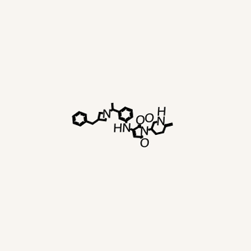 C=C1CCC(N2C(=O)C=C(Nc3cccc(C(C)N4CC(Cc5ccccc5)C4)c3)C2=O)C(=O)N1